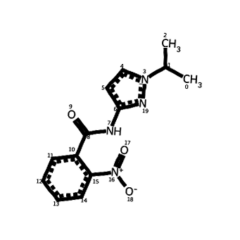 CC(C)n1ccc(NC(=O)c2ccccc2[N+](=O)[O-])n1